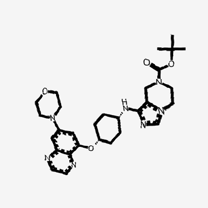 CC(C)(C)OC(=O)N1CCn2cnc(N[C@H]3CC[C@@H](Oc4cc(N5CCOCC5)cc5nccnc45)CC3)c2C1